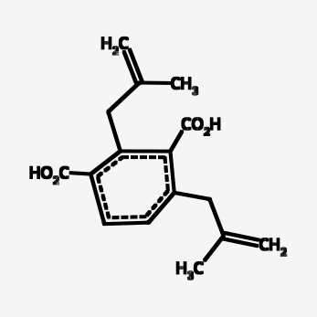 C=C(C)Cc1ccc(C(=O)O)c(CC(=C)C)c1C(=O)O